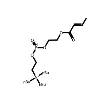 CC=CC(=O)OCCO[PH](=O)OCC[N+](CCCC)(CCCC)CCCC